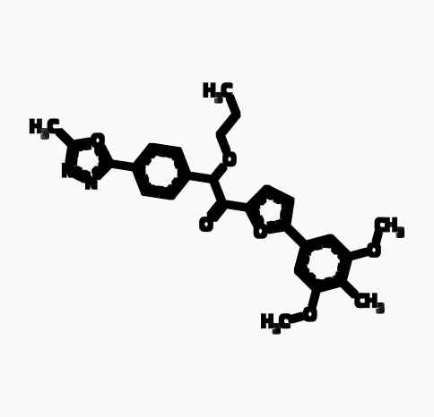 CCCOC(C(=O)c1ccc(-c2cc(OC)c(C)c(OC)c2)o1)c1ccc(-c2nnc(C)o2)cc1